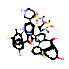 Cc1c(F)cccc1[C@]12C[C@@H](C3CCCNC3)[C@@](CCN(C)S(C)(=O)=O)(CC1C(=O)c1cccc(O)c1)N2C(=O)N1[C@]2(CCN(C)S(C)(=O)=O)CC(C(=O)c3cccc(O)c3)[C@]1(c1cccc(F)c1C)C[C@H]2C1CCCNC1